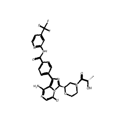 C[C@H](O)C(=O)N1CCO[C@@H](c2nc(-c3ccc(C(=O)Nc4cc(C(F)(F)F)ccn4)cc3)c3c(N)ncc(Cl)n23)C1